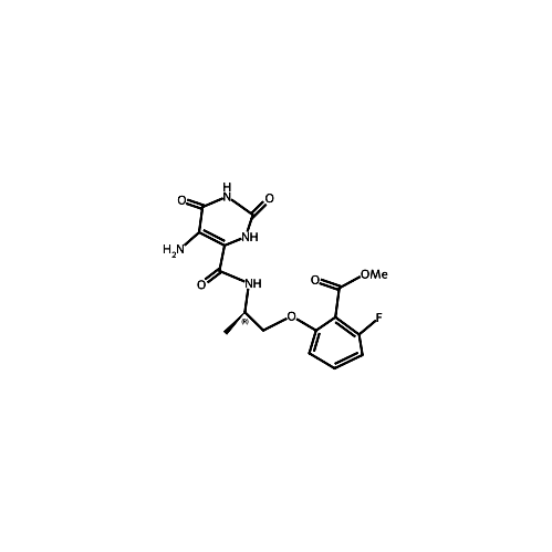 COC(=O)c1c(F)cccc1OC[C@@H](C)NC(=O)c1[nH]c(=O)[nH]c(=O)c1N